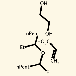 C=CC(=O)O.CCCCCC(CC)OC(CC)CCCCC.OCCO